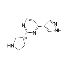 c1cc(-c2cn[nH]c2)nc([C@@H]2CCNC2)n1